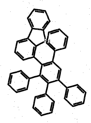 c1ccc(-c2cc(-c3ccccc3)c(-c3cccc4c3[nH]c3ccccc34)c(-c3ccccc3)c2-c2ccccc2)cc1